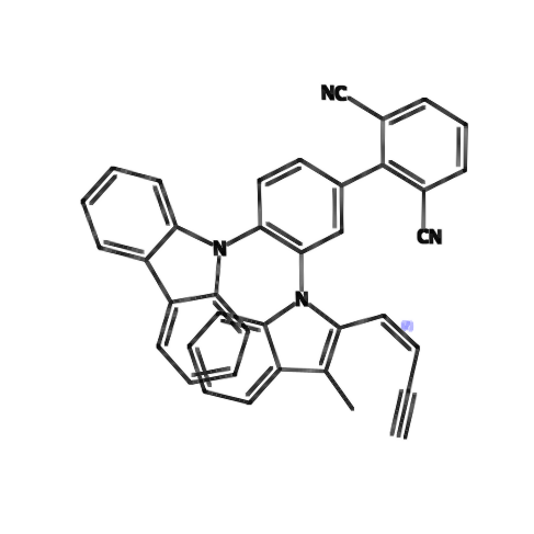 C#C/C=C\c1c(C)c2ccccc2n1-c1cc(-c2c(C#N)cccc2C#N)ccc1-n1c2ccccc2c2ccccc21